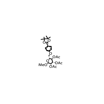 CO[C@H]1O[C@H](COc2ccc(B3OC(C)(C)C(C)(C)O3)cc2)[C@@H](OC(C)=O)[C@H](OC(C)=O)[C@@H]1OC(C)=O